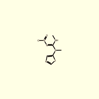 CNC(=N[N+](=O)[O-])N(C)c1cncs1